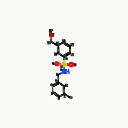 Cc1cccc(CNS(=O)(=O)c2cccc(CBr)c2)c1